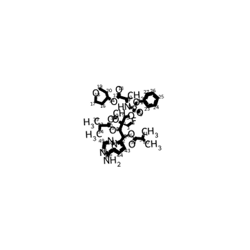 CO[C@](CF)(COP(=O)(N[C@@H](C)C(=O)OC1CCOCC1)Oc1ccccc1)[C@@H](OC(=O)C(C)C)[C@@H](OC(=O)C(C)C)c1ccc2c(N)ncnn12